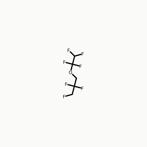 FCC(F)(F)COC(F)(F)C(F)F